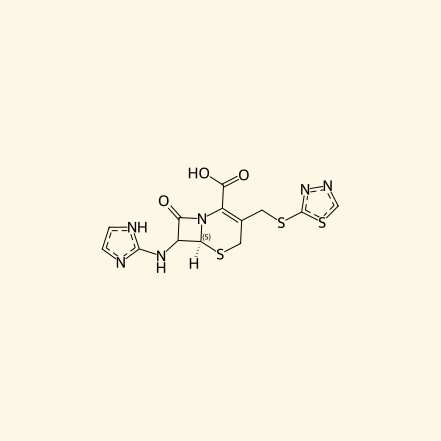 O=C(O)C1=C(CSc2nncs2)CS[C@H]2C(Nc3ncc[nH]3)C(=O)N12